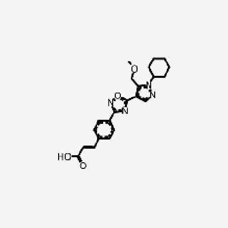 COCc1c(-c2nc(-c3ccc(C=CC(=O)O)cc3)no2)cnn1C1CCCCC1